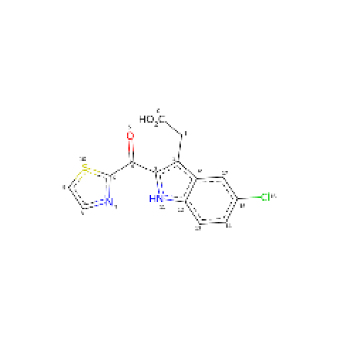 O=C(O)Cc1c(C(=O)c2nccs2)[nH]c2ccc(Cl)cc12